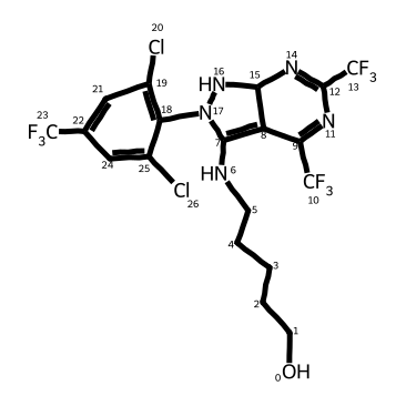 OCCCCCNC1=C2C(C(F)(F)F)=NC(C(F)(F)F)=NC2NN1c1c(Cl)cc(C(F)(F)F)cc1Cl